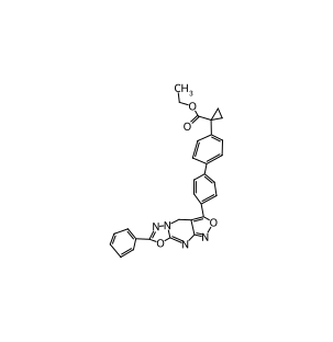 CCOC(=O)C1(c2ccc(-c3ccc(-c4onc5c4CN4N=C(c6ccccc6)OC4=N5)cc3)cc2)CC1